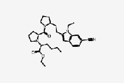 CCCCC(C(=O)OCC)N1CCCC1C(=O)N1CCCC1CCc1cc2ccc(C#N)cc2n1CC